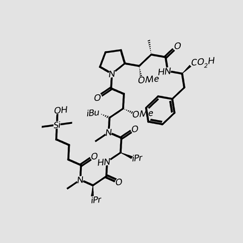 CC[C@@H](C)C([C@H](CC(=O)N1CCCC1[C@@H](OC)[C@H](C)C(=O)N[C@H](Cc1ccccc1)C(=O)O)OC)N(C)C(=O)[C@H](NC(=O)[C@@H](C(C)C)N(C)C(=O)CCC[Si](C)(C)O)C(C)C